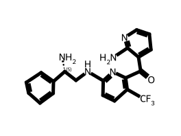 Nc1ncccc1C(=O)c1nc(NC[C@@H](N)c2ccccc2)ccc1C(F)(F)F